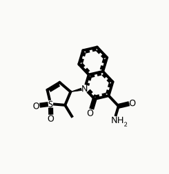 CC1[C@H](n2c(=O)c(C(N)=O)cc3ccccc32)C=CS1(=O)=O